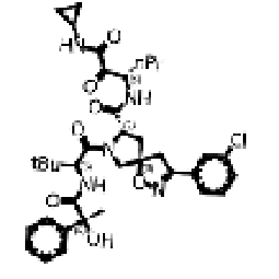 CCC[C@H](NC(=O)[C@@H]1C[C@]2(CC(c3cccc(Cl)c3)=NO2)CN1C(=O)[C@@H](NC(=O)[C@](C)(O)c1ccccc1)C(C)(C)C)C(=O)C(=O)NC1CC1